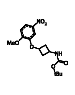 COc1ccc([N+](=O)[O-])cc1OC1CC(NC(=O)OC(C)(C)C)C1